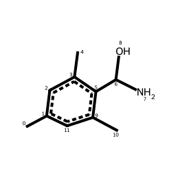 Cc1cc(C)c(C(N)O)c(C)c1